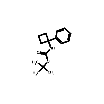 CC(C)(C)OC(=O)NC1(c2cc[c]cc2)CCC1